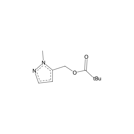 Cn1nccc1COC(=O)C(C)(C)C